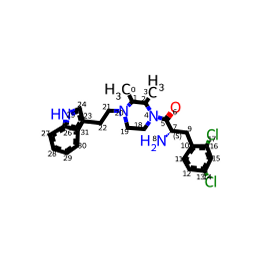 CC1C(C)N(C(=O)[C@@H](N)Cc2ccc(Cl)cc2Cl)CCN1CCc1c[nH]c2ccccc12